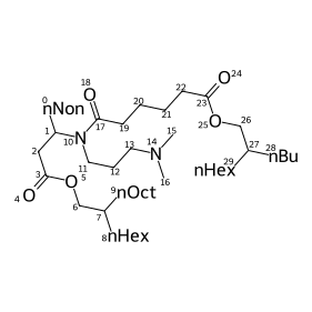 CCCCCCCCCC(CC(=O)OCC(CCCCCC)CCCCCCCC)N(CCCN(C)C)C(=O)CCCCC(=O)OCC(CCCC)CCCCCC